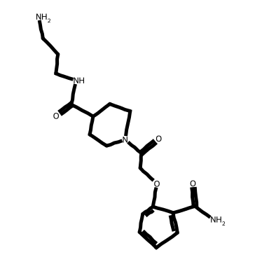 NCCCNC(=O)C1CCN(C(=O)COc2ccccc2C(N)=O)CC1